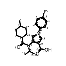 CC1CCC(C(=O)N(c2cn(-c3ccc(I)cc3)cc2C(=O)O)C(C)C)CC1